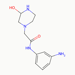 Nc1cccc(NC(=O)CN2CCNC(O)C2)c1